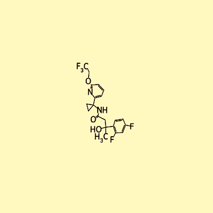 CC(O)(CC(=O)NC1(c2cccc(OCC(F)(F)F)n2)CC1)c1ccc(F)cc1F